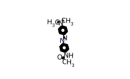 CC(=O)Nc1ccc(/N=N/c2ccc(N(C)C)cc2)cc1